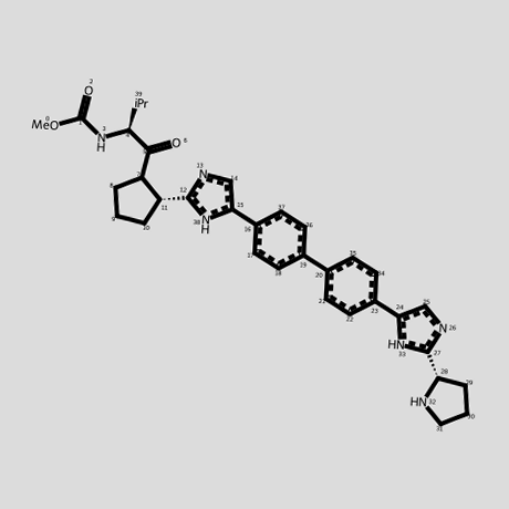 COC(=O)N[C@H](C(=O)C1CCC[C@H]1c1ncc(-c2ccc(-c3ccc(-c4cnc([C@@H]5CCCN5)[nH]4)cc3)cc2)[nH]1)C(C)C